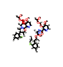 COc1ccnc(C(=O)N(C(C)[C@H](c2ccc(C)cc2F)C(C)C)[C@@H](C)C(=O)O)c1OCOC(C)=O.COc1ccnc(C(=O)N[C@@H](C)C(=O)O[C@@H](C)[C@H](c2ccc(C)cc2F)C(C)C)c1OCOC(C)=O